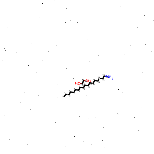 CCCCCCCCCCCCCCCCCCN.OCCO